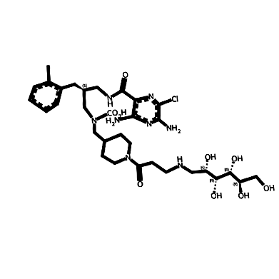 Cc1ccccc1C[C@@H](CNC(=O)c1nc(Cl)c(N)nc1N)CN(CC1CCN(C(=O)CCNC[C@H](O)[C@@H](O)[C@H](O)[C@H](O)CO)CC1)C(=O)O